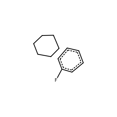 C1CCCCC1.Fc1ccccc1